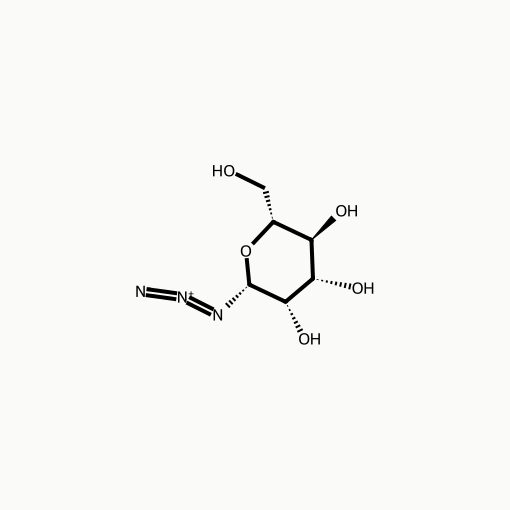 [N-]=[N+]=N[C@@H]1O[C@H](CO)[C@@H](O)[C@H](O)[C@@H]1O